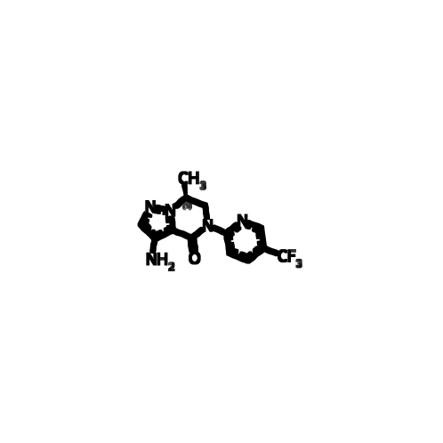 C[C@H]1CN(c2ccc(C(F)(F)F)cn2)C(=O)c2c(N)cnn21